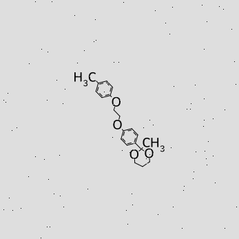 Cc1ccc(OCCOc2ccc(C3(C)OCCCO3)cc2)cc1